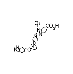 Cn1ncc2ccc(COc3cccc(N4CCN(Cc5nc6ccc(C(=O)O)cc6n5CC5CCO5)CC4)n3)cc21